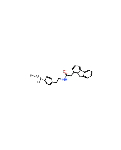 CCOC(=O)C(CC)c1ccc(CCNC(=O)Cc2cccc3c2Cc2ccccc2-3)cc1